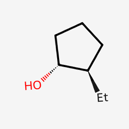 CC[C@@H]1CCC[C@H]1O